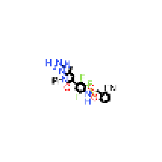 CC(C)n1c(=O)c(-c2cc(F)c(NS(=O)(=O)Cc3ccccc3C#N)c(F)c2F)cc2cnc(N)nc21